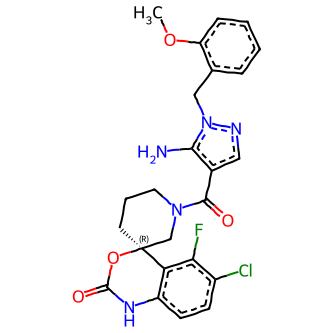 COc1ccccc1Cn1ncc(C(=O)N2CCC[C@@]3(C2)OC(=O)Nc2ccc(Cl)c(F)c23)c1N